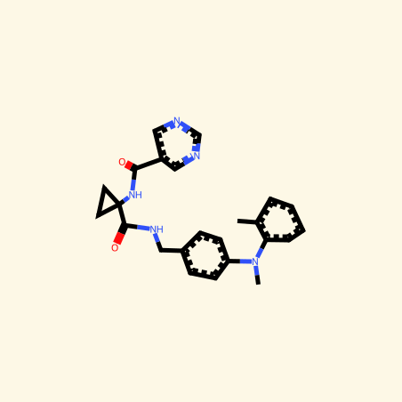 Cc1ccccc1N(C)c1ccc(CNC(=O)C2(NC(=O)c3cncnc3)CC2)cc1